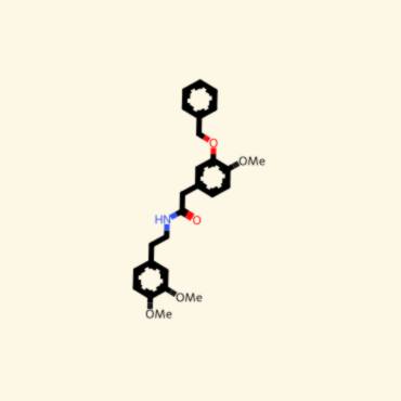 COc1ccc(CCNC(=O)Cc2ccc(OC)c(OCc3ccccc3)c2)cc1OC